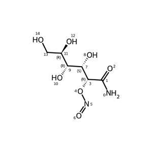 NC(=O)[C@H](ON=O)[C@@H](O)[C@H](O)[C@H](O)CO